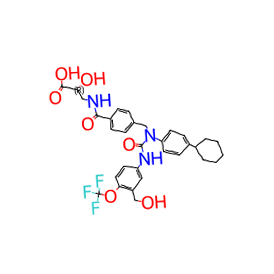 O=C(NC[C@@H](O)C(=O)O)c1ccc(CN(C(=O)Nc2ccc(OC(F)(F)F)c(CO)c2)c2ccc(C3CCCCC3)cc2)cc1